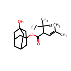 CCC(C)(C)C(C=C(C)C)C(=O)OC12CC3CC(CC(O)(C3)C1)C2